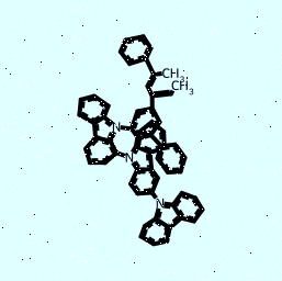 C/C=C(\C=C(/C)c1ccccc1)c1cc(-c2ccccc2)cc(-n2c3ccccc3c3cccc(-n4c5ccccc5c5cc(-n6c7ccccc7c7ccccc76)ccc54)c32)c1